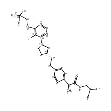 CC(C(=O)NCC(F)F)c1ccc(CC[C@@H]2CCN(c3ncnc(OCC(C)(F)F)c3F)C2)cc1